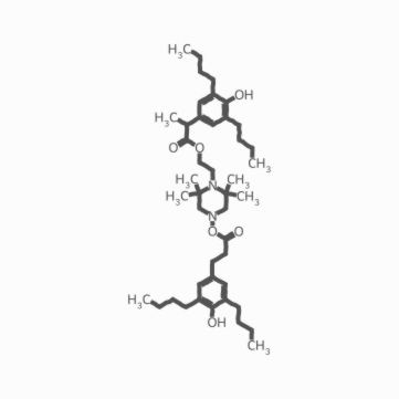 CCCCc1cc(CCC(=O)ON2CC(C)(C)N(CCOC(=O)C(C)c3cc(CCCC)c(O)c(CCCC)c3)C(C)(C)C2)cc(CCCC)c1O